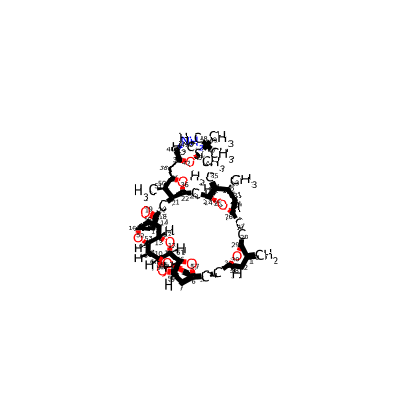 C=C1C[C@@H]2CCC34C[C@@H]5O[C@@H]6[C@@H](O[C@H]7CCC(CC(=O)CC8C(C[C@H]9O[C@@H](CCC1O2)C[C@@H](C)C9=C)O[C@H](C[C@@H](CN)O[Si](C)(C)C(C)(C)C)[C@@H]8C)O[C@@H]7[C@@H]6O3)[C@H]5O4